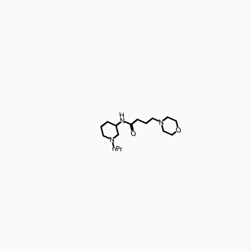 CCCN1CCCC(NC(=O)CCCN2CCOCC2)C1